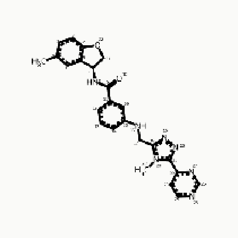 Cc1ccc2c(c1)[C@H](NC(=O)c1cccc(NCc3nnc(-c4ccncn4)n3C)c1)CO2